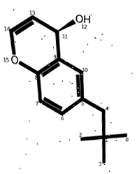 CC(C)(C)Cc1ccc2c(c1)[C@H](O)C=CO2